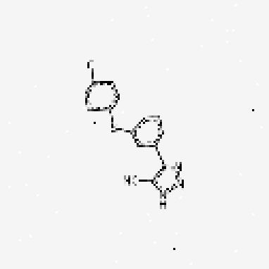 N#Cc1[nH]nnc1-c1cccc(Sc2ccc(Cl)cc2)c1